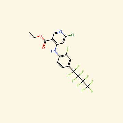 CCOC(=O)c1cnc(Cl)cc1Nc1ccc(C(F)(F)C(F)(F)C(F)(F)C(F)(F)F)cc1F